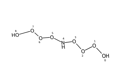 OOOONOOOO